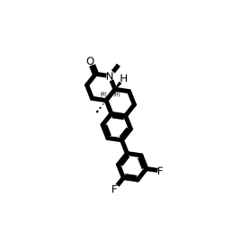 CN1C(=O)CC[C@]2(C)c3ccc(-c4cc(F)cc(F)c4)cc3CC[C@@H]12